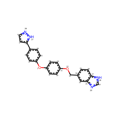 c1cc(-c2ccc(Oc3ccc(OCc4ccc5[nH]cnc5c4)cc3)cc2)[nH]n1